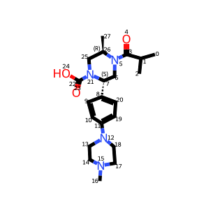 CC(C)C(=O)N1C[C@H](c2ccc(N3CCN(C)CC3)cc2)N(C(=O)O)C[C@H]1C